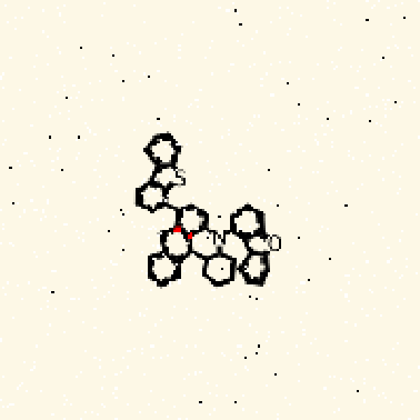 C1=CC(N(c2ccc(-c3cccc4c3sc3ccccc34)cc2)c2cccc3oc4ccccc4c23)C(c2cccc3ccccc23)CC1